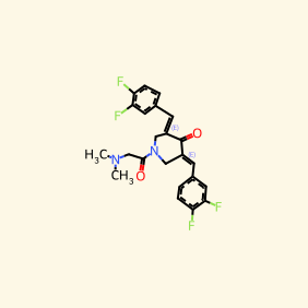 CN(C)CC(=O)N1C/C(=C\c2ccc(F)c(F)c2)C(=O)/C(=C/c2ccc(F)c(F)c2)C1